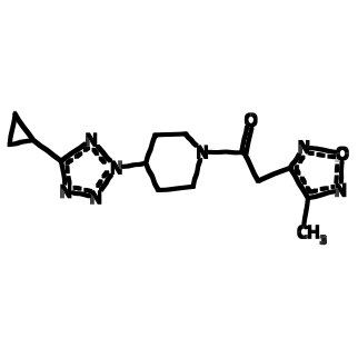 Cc1nonc1CC(=O)N1CCC(n2nnc(C3CC3)n2)CC1